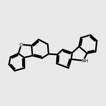 C1=c2oc3ccccc3c2=CC(c2ccc3[nH]c4ccccc4c3c2)C1